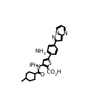 CC1CCC(C(=O)N(c2cc(-c3ccc(-c4cc5ncccn5n4)cc3)sc2C(=O)O)C(C)C)CC1.N